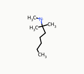 CCCCCC(C)(C)[N]C